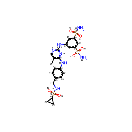 Cc1cnc(Nc2cc(S(N)(=O)=O)cc(S(N)(=O)=O)c2)nc1Nc1ccc(CNS(=O)(=O)C2CC2)cc1